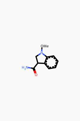 CON1CC(C(N)=O)c2ccccc21